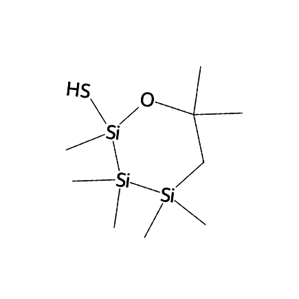 CC1(C)C[Si](C)(C)[Si](C)(C)[Si](C)(S)O1